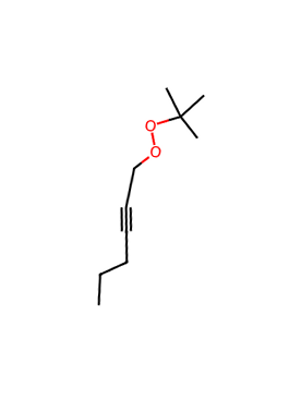 CCCC#CCOOC(C)(C)C